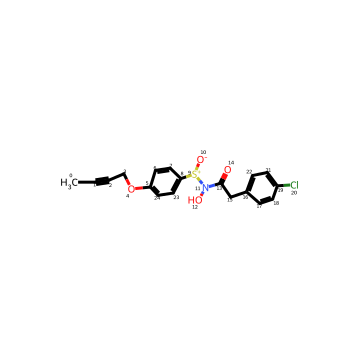 CC#CCOc1ccc([S+]([O-])N(O)C(=O)Cc2ccc(Cl)cc2)cc1